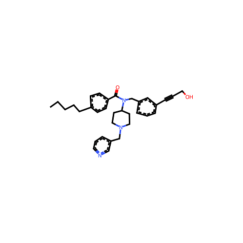 CCCCCc1ccc(C(=O)N(Cc2cccc(C#CCO)c2)C2CCN(Cc3cccnc3)CC2)cc1